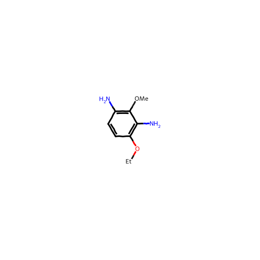 CCOc1ccc(N)c(OC)c1N